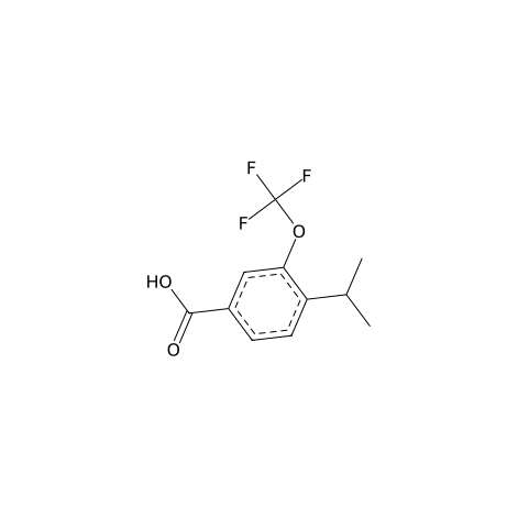 CC(C)c1ccc(C(=O)O)cc1OC(F)(F)F